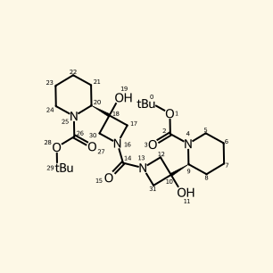 CC(C)(C)OC(=O)N1CCCC[C@H]1C1(O)CN(C(=O)N2CC(O)([C@@H]3CCCCN3C(=O)OC(C)(C)C)C2)C1